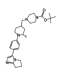 CC(C)(C)OC(=O)N1CCN(CC2CCN(c3ccc(-c4cnc5n4CCC5)cc3)C(I)C2)CC1